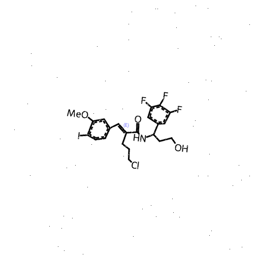 COc1cc(/C=C(\CCCCl)C(=O)NC(CCO)c2cc(F)c(F)c(F)c2)ccc1I